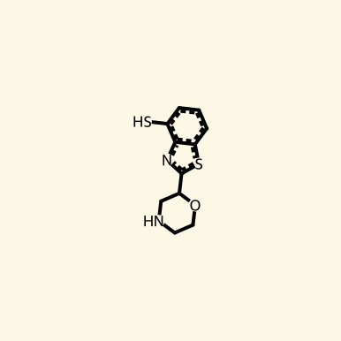 Sc1cccc2sc(C3CNCCO3)nc12